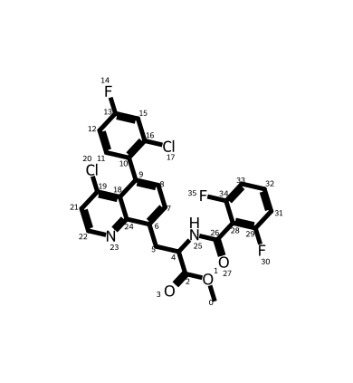 COC(=O)C(Cc1ccc(-c2ccc(F)cc2Cl)c2c(Cl)ccnc12)NC(=O)c1c(F)cccc1F